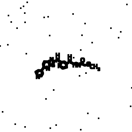 COCC(=O)NCCNc1ccnc(Nc2nc3ccc(-c4ccncc4)nc3s2)c1